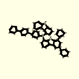 c1ccc(-c2ccc(-c3ccc(N(c4cccc5c4oc4c(-c6ccccc6)cc(-c6ccccc6)cc45)c4cccc5sc6ccccc6c45)cc3)cc2)cc1